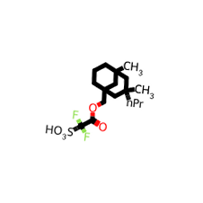 CCCC1(C)CC2(C)CCCC(COC(=O)C(F)(F)S(=O)(=O)O)(C1)C2